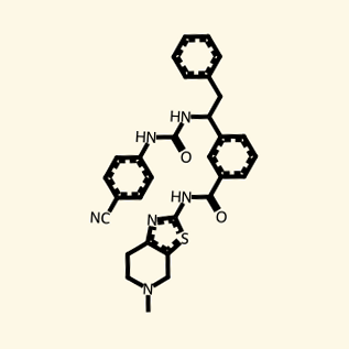 CN1CCc2nc(NC(=O)c3cccc(C(Cc4ccccc4)NC(=O)Nc4ccc(C#N)cc4)c3)sc2C1